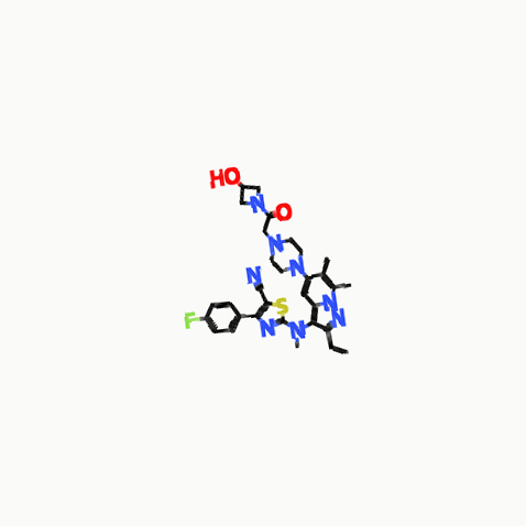 CCc1nn2c(C)c(C)c(N3CCN(CC(=O)N4CC(O)C4)CC3)cc2c1N(C)c1nc(-c2ccc(F)cc2)c(C#N)s1